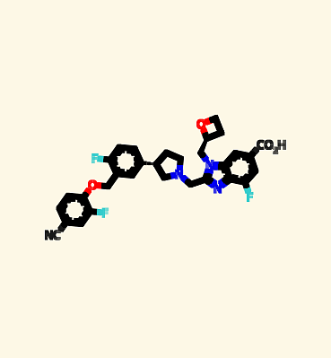 N#Cc1ccc(OCc2cc([C@@H]3CCN(Cc4nc5c(F)cc(C(=O)O)cc5n4C[C@@H]4CCO4)C3)ccc2F)c(F)c1